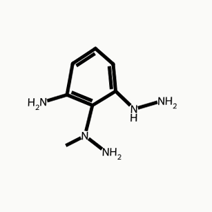 CN(N)c1c(N)cccc1NN